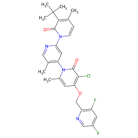 Cc1cnc(-n2ccc(C)c(C(C)(C)C)c2=O)cc1-n1c(C)cc(OCc2ncc(F)cc2F)c(Cl)c1=O